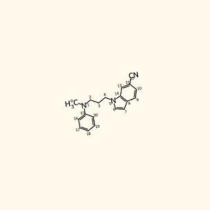 CN(CCCn1ccc2ccc(C#N)cc21)c1ccccc1